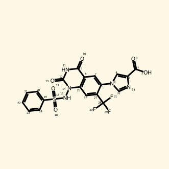 O=C(O)c1cn(-c2cc3c(=O)[nH]c(=O)n(NS(=O)(=O)c4ccccc4)c3cc2C(F)(F)F)cn1